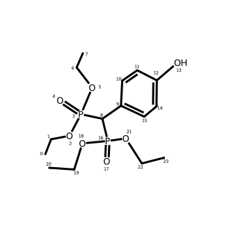 CCOP(=O)(OCC)C(c1ccc(O)cc1)P(=O)(OCC)OCC